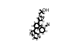 CC(C)(O)Cn1cc(-c2ccc(-c3cnn4ccnc([C@H]5CC[C@@H](C#N)CC5)c34)cc2F)cn1